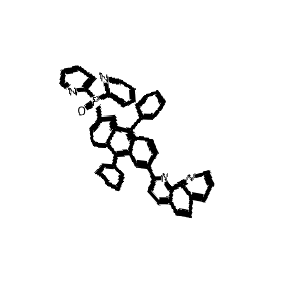 O=P(c1ccc2c(-c3ccccc3)c3cc(-c4ccc5ccc6cccnc6c5n4)ccc3c(-c3ccccc3)c2c1)(c1ccccn1)c1ccccn1